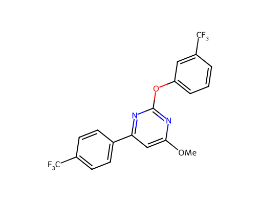 COc1cc(-c2ccc(C(F)(F)F)cc2)nc(Oc2cccc(C(F)(F)F)c2)n1